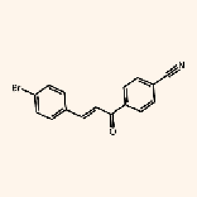 N#Cc1ccc(C(=O)/C=C/c2ccc(Br)cc2)cc1